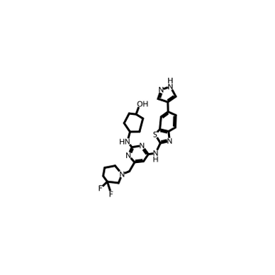 OC1CCC(Nc2nc(CN3CCCC(F)(F)C3)cc(Nc3nc4ccc(-c5cn[nH]c5)cc4s3)n2)CC1